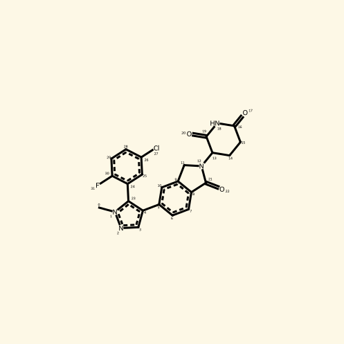 Cn1ncc(-c2ccc3c(c2)CN(C2CCC(=O)NC2=O)C3=O)c1-c1cc(Cl)ccc1F